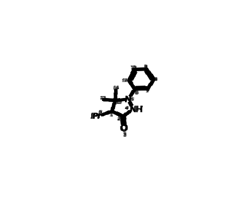 CC(C)C1C(=O)NN(c2ccccc2)C1(C)C